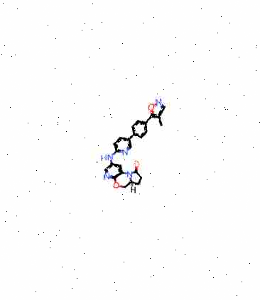 Cc1cnoc1-c1ccc(-c2ccc(Nc3cnc4c(c3)N3C(=O)CC[C@H]3CO4)nc2)cc1